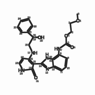 COCCOC(=O)Nc1cccc2nc(-c3c(NC[C@H](O)c4ccccc4)cc[nH]c3=O)[nH]c12